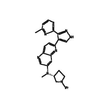 Cc1cccc(-c2n[nH]cc2-c2ccc3ncc(N(C)[C@@H]4CCN(C(C)C)C4)cc3n2)n1